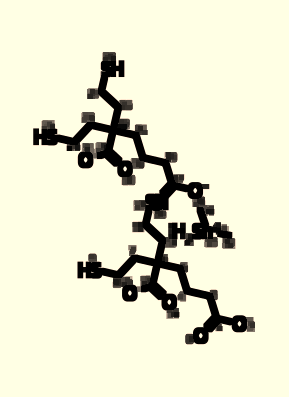 O=C([O-])CCCC(CCS)(CCS)C(=O)[O-].O=C([O-])CCCC(CCS)(CCS)C(=O)[O-].[CH3][SnH2+4][CH3]